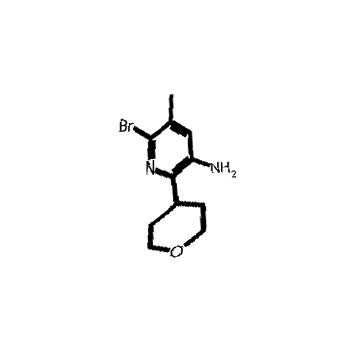 Cc1cc(N)c(C2CCOCC2)nc1Br